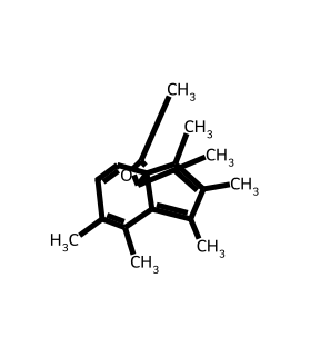 CC1=C(C)C2=C(C)C(C)=C(C)C23C(=C1)OC(C)=C3C